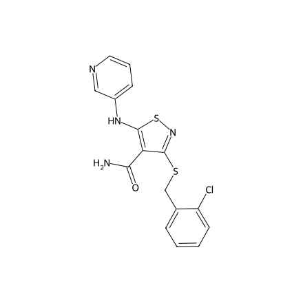 NC(=O)c1c(SCc2ccccc2Cl)nsc1Nc1cccnc1